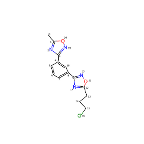 Cc1nc(-c2cccc(-c3noc(CCCCl)n3)c2)no1